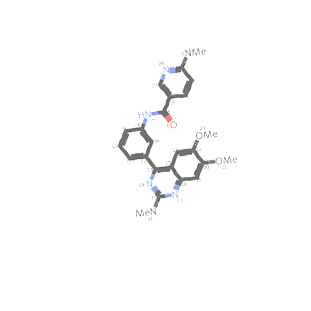 CNc1ccc(C(=O)Nc2cccc(-c3nc(NC)nc4cc(OC)c(OC)cc34)c2)cn1